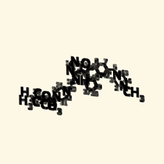 CN1CCN(Cc2ccc(-c3oc4ncnc(NCCN5CCN(C(=O)OC(C)(C)C)CC5)c4c3-c3ccccc3)cc2)CC1